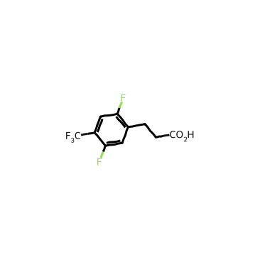 O=C(O)CCc1cc(F)c(C(F)(F)F)cc1F